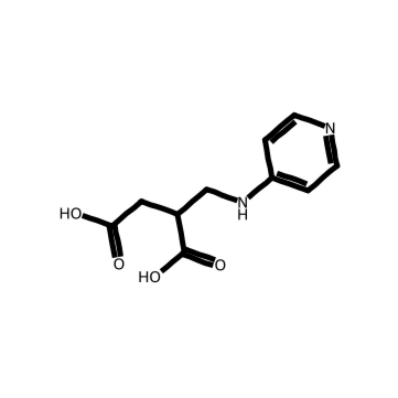 O=C(O)CC(CNc1ccncc1)C(=O)O